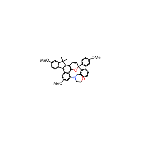 COc1ccc(C2(c3ccccc3)C=Cc3c4c(c5cc(OC)cc(N6CCOCC6)c5c3O2)-c2ccc(OC)cc2C4(C)C)cc1